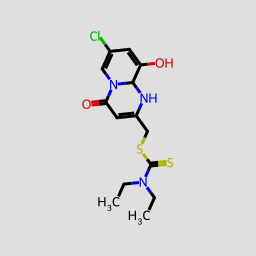 CCN(CC)C(=S)SCC1=CC(=O)N2C=C(Cl)C=C(O)C2N1